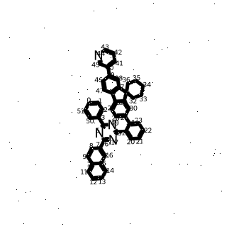 c1ccc(-c2nc(-c3ccc4ccccc4c3)nc(-c3ccccc3-c3ccc4c(c3)C3(CCCCC3)c3cc(-c5cccnc5)ccc3-4)n2)cc1